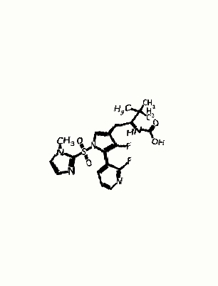 Cn1ccnc1S(=O)(=O)n1cc(CC(NC(=O)O)C(C)(C)C)c(F)c1-c1cccnc1F